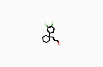 O=C/C=C/C1(c2ccc(F)c(F)c2)CCCCC1